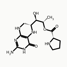 C[C@H](OC(=O)[C@@H]1CCCN1)[C@H](O)[C@H]1CNc2nc(N)[nH]c(=O)c2N1